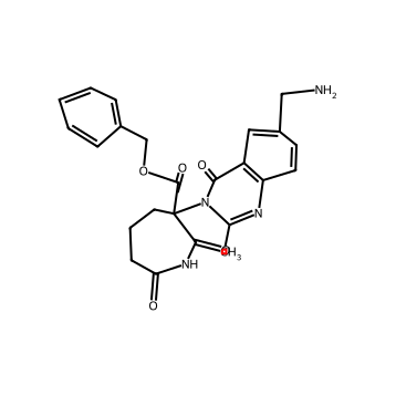 Cc1nc2ccc(CN)cc2c(=O)n1C1(C(=O)OCc2ccccc2)CCCC(=O)NC1=O